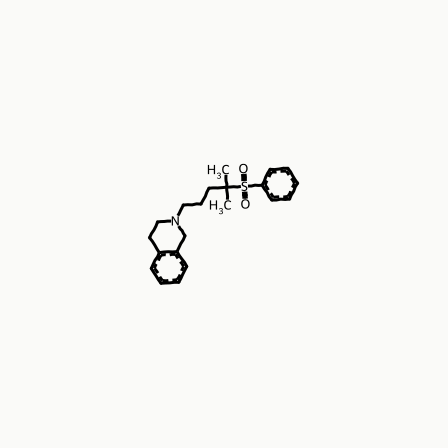 CC(C)(CCCN1CCc2ccccc2C1)S(=O)(=O)c1ccccc1